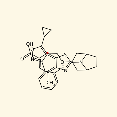 Cc1cc(C(=O)O)cc2sc(N3C4CCC3CC(OCc3c(-c5ccccc5F)noc3C3CC3)C4)nc12